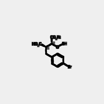 CCOC(=O)[C@@H](OS)[C@@H](Cc1ccc(Br)cc1)C(=O)O